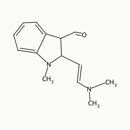 CN(C)/C=C/C1C(C=O)c2ccccc2N1C